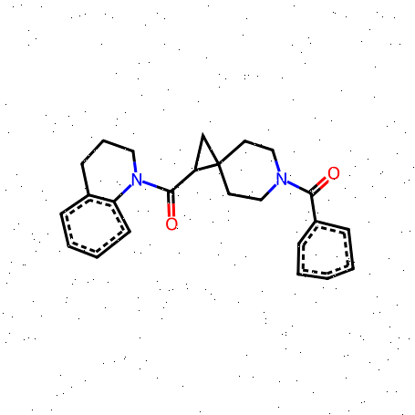 O=C(c1ccccc1)N1CCC2(CC1)CC2C(=O)N1CCCc2ccccc21